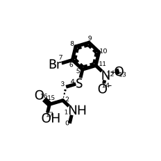 CN[C@@H](CSc1c(Br)cccc1[N+](=O)[O-])C(=O)O